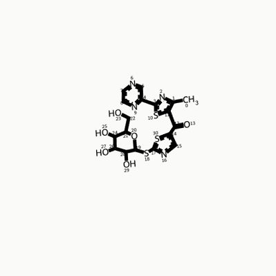 Cc1nc(-c2cnccn2)sc1C(=O)c1cnc(SC2OC(CO)C(O)C(O)C2O)s1